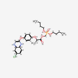 CCCCOP(=O)(COC(=O)C(C)Oc1ccc(Oc2cnc3cc(Cl)ccc3n2)cc1)OCCCC